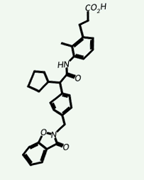 Cc1c(CCC(=O)O)cccc1NC(=O)C(c1ccc(Cn2oc3ccccc3c2=O)cc1)C1CCCC1